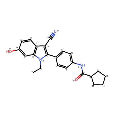 CCn1c(-c2ccc(NC(=O)C3CCCC3)cc2)c(C#N)c2ccc(O)cc21